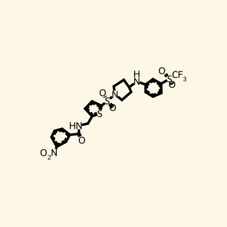 O=C(NCc1ccc(S(=O)(=O)N2CCC(Nc3cccc(S(=O)(=O)C(F)(F)F)c3)CC2)s1)c1cccc([N+](=O)[O-])c1